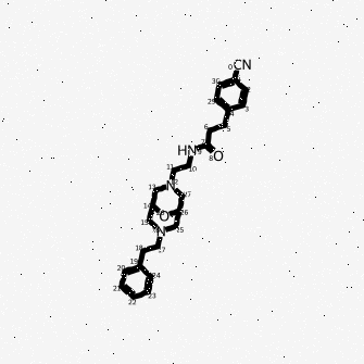 N#Cc1ccc(CCC(=O)NCCN2CC3CN(CCc4ccccc4)CC(C2)O3)cc1